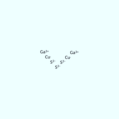 [Cu].[Cu].[Ga+3].[Ga+3].[S-2].[S-2].[S-2]